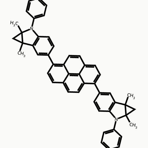 CC12CC1(C)N(c1ccccc1)c1ccc(-c3ccc4ccc5c(-c6ccc7c(c6)C6(C)CC6(C)N7c6ccccc6)ccc6ccc3c4c65)cc12